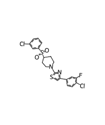 O=S(=O)(c1cccc(Cl)c1)C1CCN(c2nc(-c3ccc(Cl)c(F)c3)cs2)CC1